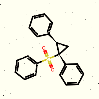 O=S(=O)(c1ccccc1)[C@@]1(c2ccccc2)C[C@@H]1c1ccccc1